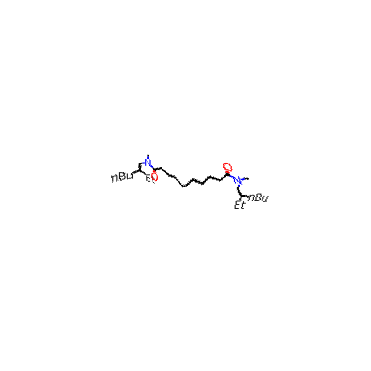 CCCCC(CC)CN(C)C(=O)CCCCCCCCC(=O)N(C)CC(CC)CCCC